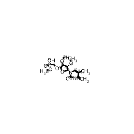 C=C1NC(=O)N([C@@H]2O[C@H](OCP(=O)(O)OC)[C@@H](OC)[C@H]2OC)C=C1C